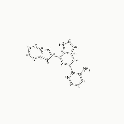 Nc1cccnc1-c1cc(-c2cc3ccccc3s2)c2[nH]ncc2c1